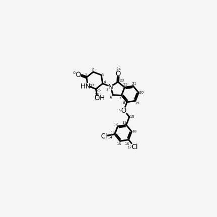 O=C1CCC(N2Cc3c(OCc4cc(Cl)cc(Cl)c4)cccc3C2=O)C(O)N1